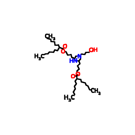 CCCCCCCC(CCCCCCC)C(=O)OCCCCC1CN(CCCCO)CC(CCCCOC(=O)C(CCCCCCC)CCCCCCC)N1